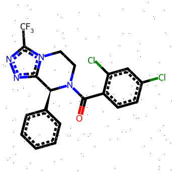 O=C(c1ccc(Cl)cc1Cl)N1CCn2c(nnc2C(F)(F)F)[C@@H]1c1ccccc1